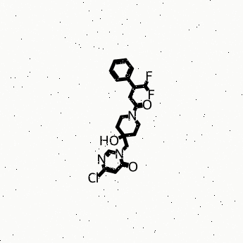 O=C(CC(c1ccccc1)C(F)F)N1CCC(O)(Cn2cnc(Cl)cc2=O)CC1